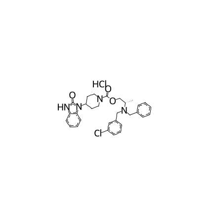 C[C@@H](COC(=O)N1CCC(n2c(=O)[nH]c3ccccc32)CC1)N(Cc1ccccc1)Cc1cccc(Cl)c1.Cl